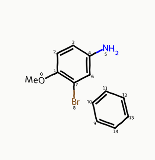 COc1ccc(N)cc1Br.c1ccccc1